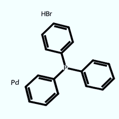 Br.[Pd].c1ccc(P(c2ccccc2)c2ccccc2)cc1